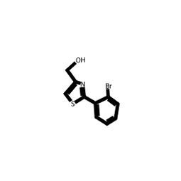 OCc1csc(-c2ccccc2Br)n1